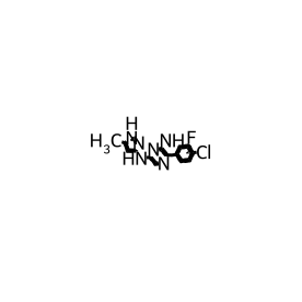 Cc1cc(Nc2cnc(-c3ccc(Cl)c(F)c3)c(N)n2)n[nH]1